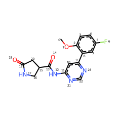 COc1ccc(F)cc1-c1cc(NC(=O)C2CNC(=O)C2)ncn1